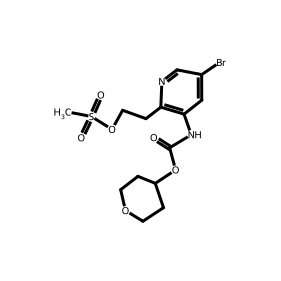 CS(=O)(=O)OCCc1ncc(Br)cc1NC(=O)OC1CCOCC1